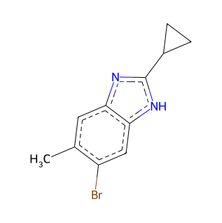 Cc1cc2nc(C3CC3)[nH]c2cc1Br